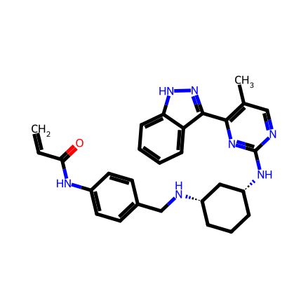 C=CC(=O)Nc1ccc(CN[C@H]2CCC[C@@H](Nc3ncc(C)c(-c4n[nH]c5ccccc45)n3)C2)cc1